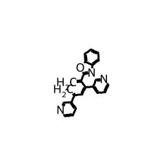 C=C(/C=C(\C(=C)c1nc2ccccc2o1)c1cccnc1)c1cccnc1